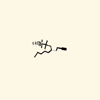 C#CCC[C@H](CCCCC)CC(C)(C)[Si](C)(C)O